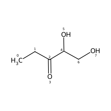 CCC(=O)C(O)CO